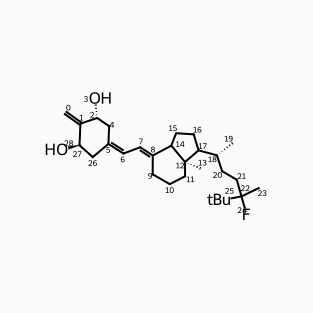 C=C1[C@H](O)CC(=C/C=C2\CCC[C@@]3(C)C2CCC3[C@H](C)CCC(C)(F)C(C)(C)C)C[C@H]1O